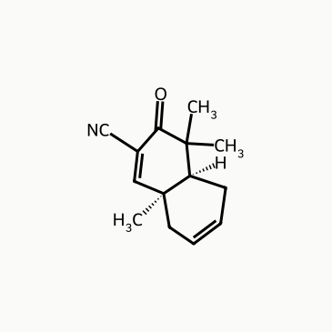 CC1(C)C(=O)C(C#N)=C[C@]2(C)CC=CC[C@H]12